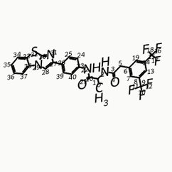 CC(NC(=O)Cc1cc(C(F)(F)F)cc(C(F)(F)F)c1)C(=O)Nc1ccc(-c2cn3c(n2)sc2ccccc23)cc1